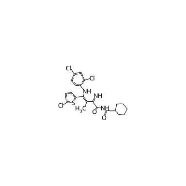 C/C(C(=N)C(=O)NC(=O)C1CCCCC1)=C(/Nc1ccc(Cl)cc1Cl)c1ccc(Cl)s1